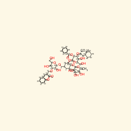 CC1CC(CO[C@H]2OC(CO)[C@@H](O)C(OCc3cc4ccccc4oc3=O)C2O)C[C@@H](O[C@@H]2OC(CO)[C@H](O)C(O[C@@H](CC3CCCCC3)C(=O)O)C2OC(=O)c2ccccc2)C1O[C@@H]1OC(C)[C@@H](O)C(O)C1O